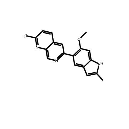 COc1cc2[nH]c(C)cc2cc1-c1cc2ccc(Cl)nc2cn1